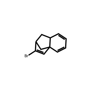 BrC1=CC23C=CC=CC2CC1C3